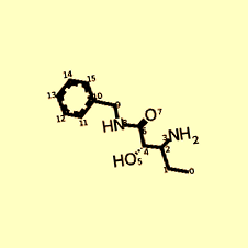 CCC(N)[C@H](O)C(=O)NCc1ccccc1